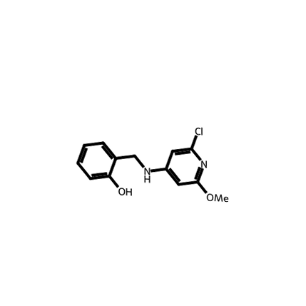 COc1cc(NCc2ccccc2O)cc(Cl)n1